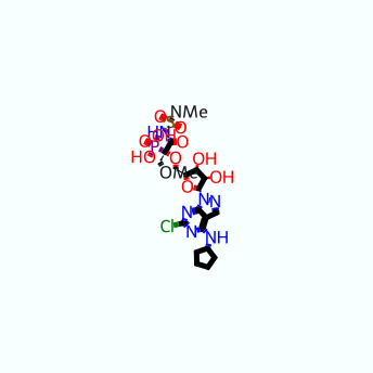 CNS(=O)(=O)NC(=O)[C@@](COC)(OC[C@H]1O[C@@H](n2ncc3c(NC4CCCC4)nc(Cl)nc32)[C@H](O)[C@@H]1O)P(=O)(O)O